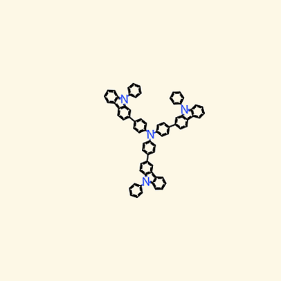 c1ccc(-n2c3ccccc3c3cc(-c4ccc(N(c5ccc(-c6ccc7c8ccccc8n(-c8ccccc8)c7c6)cc5)c5ccc(-c6ccc7c8ccccc8n(-c8ccccc8)c7c6)cc5)cc4)ccc32)cc1